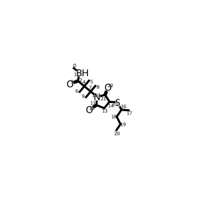 CBC(=O)C(C)(C)C(C)(C)N1C(=O)CC(SC(C)CCC)C1=O